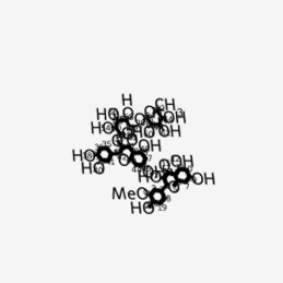 COc1cc(-c2oc3cc(O)cc(O)c3c(=O)c2O)ccc1O.C[C@@H]1O[C@@H](OC[C@H]2O[C@@H](Oc3c(-c4ccc(O)c(O)c4)oc4cc(O)cc(O)c4c3=O)[C@H](O)[C@@H](O)[C@@H]2O)[C@H](O)[C@H](O)[C@H]1O